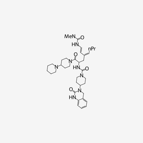 CCC/C=C(\C=C\NC(=O)NC)CC(NC(=O)N1CCC(N2Cc3ccccc3NC2=O)CC1)C(=O)N1CCC(N2CCCCC2)CC1